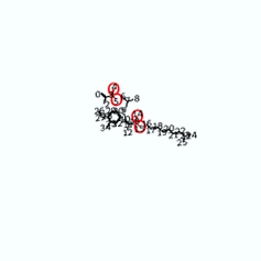 C=C(C)C(=O)OCC(C)C.C=C(C)C(=O)OCCCCCCCC(C)C.C=Cc1ccccc1C